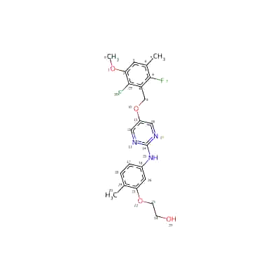 COc1cc(C)c(F)c(COc2cnc(Nc3ccc(C)c(OCCO)c3)nc2)c1F